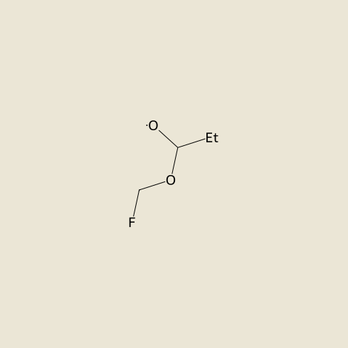 CCC([O])OCF